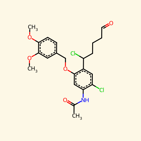 COc1ccc(COc2cc(NC(C)=O)c(Cl)cc2C(Cl)CCCC=O)cc1OC